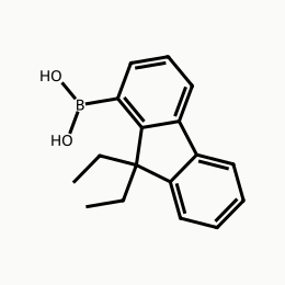 CCC1(CC)c2ccccc2-c2cccc(B(O)O)c21